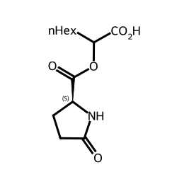 CCCCCCC(OC(=O)[C@@H]1CCC(=O)N1)C(=O)O